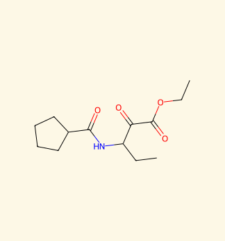 CCOC(=O)C(=O)C(CC)NC(=O)C1CCCC1